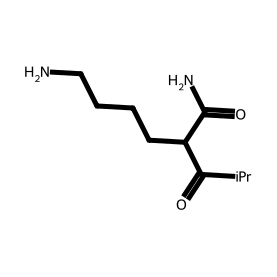 CC(C)C(=O)C(CCCCN)C(N)=O